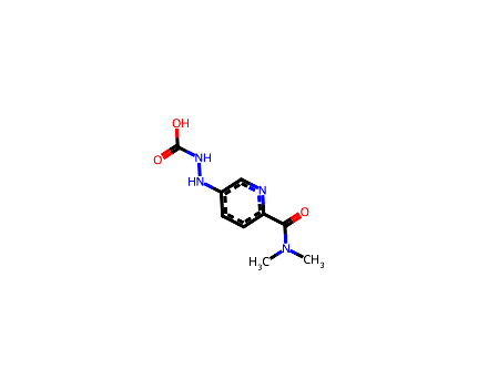 CN(C)C(=O)c1ccc(NNC(=O)O)cn1